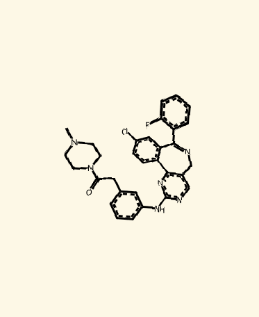 CN1CCN(C(=O)Cc2cccc(Nc3ncc4c(n3)-c3ccc(Cl)cc3C(c3ccccc3F)=NC4)c2)CC1